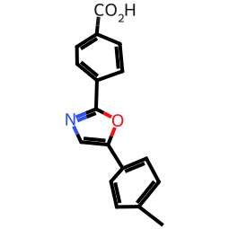 Cc1ccc(-c2cnc(-c3ccc(C(=O)O)cc3)o2)cc1